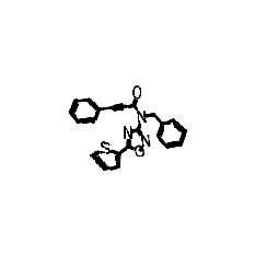 O=C(C#Cc1ccccc1)N(Cc1ccccc1)c1noc(-c2cccs2)n1